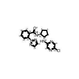 O=C(N[C@H]1CCC[C@@H]1Nc1cnc(Cl)cn1)c1ccccc1-n1nccn1